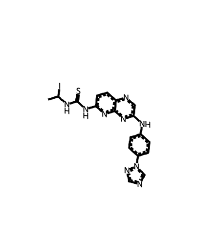 CC(I)NC(=S)Nc1ccc2ncc(Nc3ccc(-n4cncn4)cc3)nc2n1